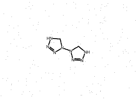 C1NN=NN1N1CNN=N1